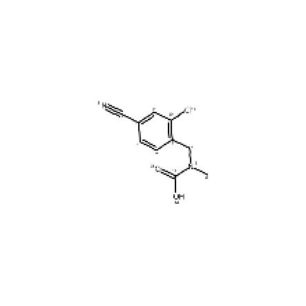 CN(Cc1ccc(C#N)cc1Cl)C(=O)O